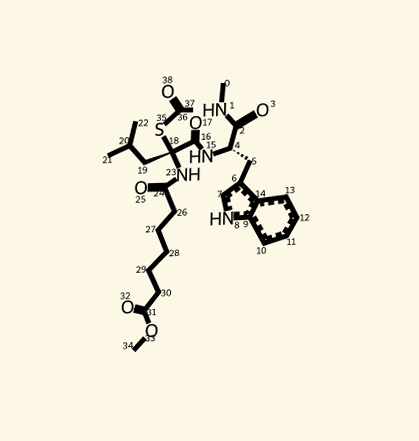 CNC(=O)[C@H](Cc1c[nH]c2ccccc12)NC(=O)[C@](CC(C)C)(NC(=O)CCCCCC(=O)OC)SC(C)=O